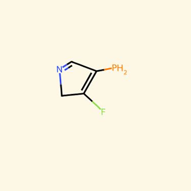 FC1=C(P)C=NC1